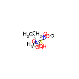 CCC(C)CCCC(=O)N1c2cc(C3=CCN(C(=O)OCc4ccccc4)CC3)sc2C(O)=C(O)C1C